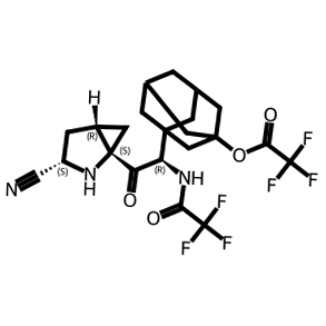 N#C[C@@H]1C[C@@H]2C[C@]2(C(=O)[C@H](NC(=O)C(F)(F)F)C23CC4CC(CC(OC(=O)C(F)(F)F)(C4)C2)C3)N1